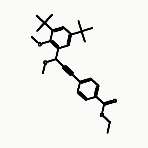 CCOC(=O)c1ccc(C#CC(OC)c2cc(C(C)(C)C)cc(C(C)(C)C)c2OC)cc1